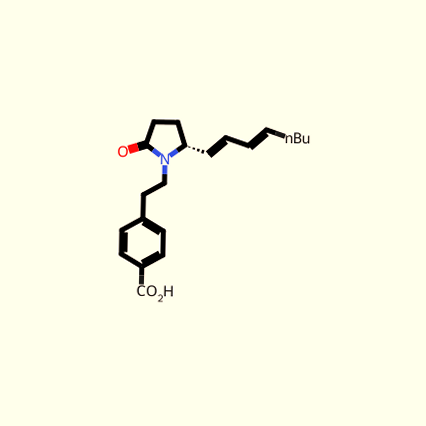 CCCC/C=C/C=C/[C@H]1CCC(=O)N1CCc1ccc(C(=O)O)cc1